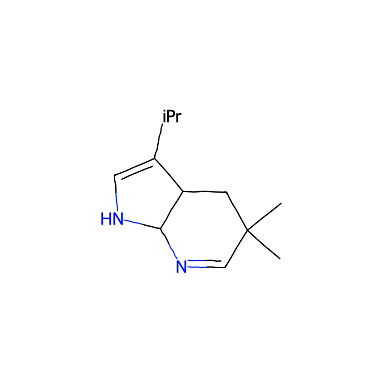 CC(C)C1=CNC2N=CC(C)(C)CC12